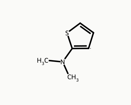 CN(C)c1[c]ccs1